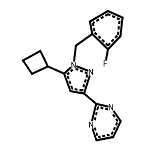 Fc1ccccc1Cn1nc(-c2ncccn2)cc1C1CCC1